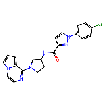 O=C(NC1CCN(c2nccn3cccc23)C1)c1ccn(-c2ccc(Cl)cc2)n1